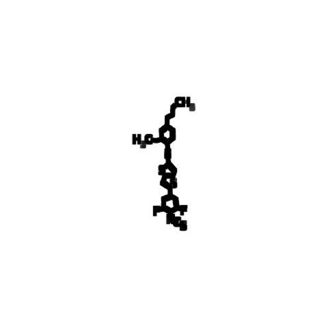 CCCCc1ccc(C#Cc2cc3sc(-c4cc(F)c(N=C=S)c(F)c4)cc3s2)c(CC)c1